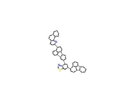 c1ccc2c(c1)-c1cccc3c(-c4cc(-c5ccc6c(c5)-c5cccc7c(-c8ccc9ccc%10ccccc%10c9n8)ccc-6c57)c5ncsc5c4)ccc-2c13